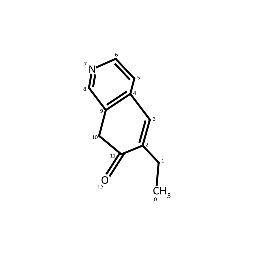 CCC1=Cc2ccncc2CC1=O